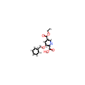 CCOC(=O)c1cnc(C(=O)O)c(OCc2ccccc2)c1